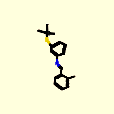 Cc1ccccc1/C=N/c1cccc(S[Si](C)(C)C)c1